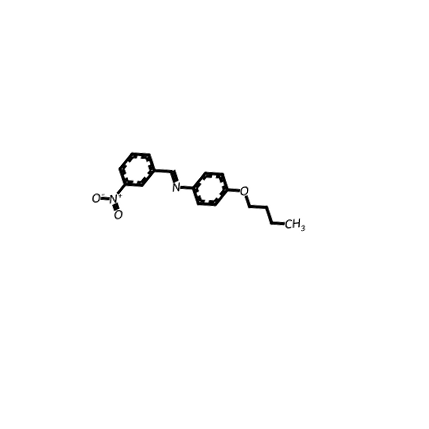 CCCCOc1ccc(/N=C/c2cccc([N+](=O)[O-])c2)cc1